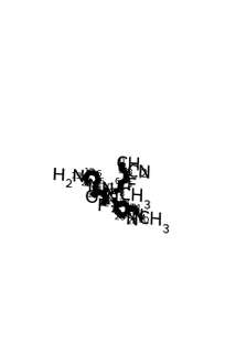 C=C/C(C#N)=C(F)\C=C(/C)c1nc(C(=O)N2CCC[C@@H](N)C2)c(F)n1-c1ccc2nn(C)cc2c1